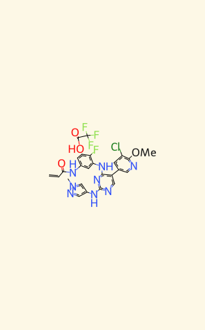 C=CC(=O)Nc1ccc(F)c(Nc2nc(Nc3cnn(C)c3)ncc2-c2cnc(OC)c(Cl)c2)c1.O=C(O)C(F)(F)F